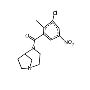 Cc1c(Cl)cc([N+](=O)[O-])cc1C(=O)N1CCN2CCC1C2